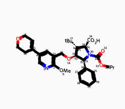 COc1ncc(C2=CCOCC2)cc1CO[C@H]1[C@H](C(C)(C)C)[C@@H](C(=O)O)N(C(=O)OC(C)C)[C@H]1c1ccccc1